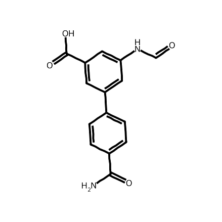 NC(=O)c1ccc(-c2cc(NC=O)cc(C(=O)O)c2)cc1